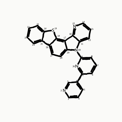 c1cncc(-c2cccc(-n3c4cccnc4c4c5sc6ccccc6c5ccc43)n2)c1